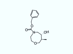 C[C@H]1COCCN(C(=O)OCc2ccccc2)C[C@@H]1O